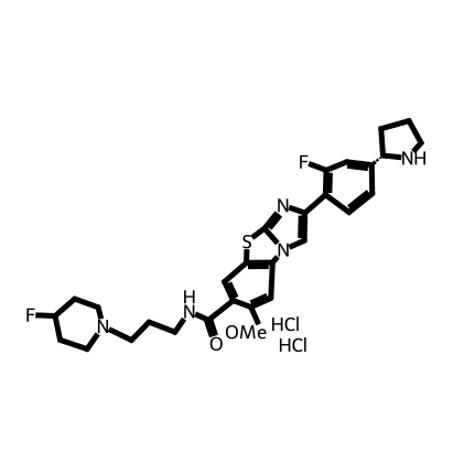 COc1cc2c(cc1C(=O)NCCCN1CCC(F)CC1)sc1nc(-c3ccc([C@@H]4CCCN4)cc3F)cn12.Cl.Cl